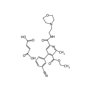 CCOC(=O)c1c(-c2cccc(C#N)c2)cc(C(=O)NCCN2CCOCC2)nc1C.O=C(O)C=CC(=O)O